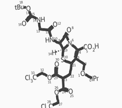 CC(C)OCC1=C(C(=O)O)N2C(=O)C(NC(=O)CNC(=O)OC(C)(C)C)[C@@H]2SC1CC(C(=O)OCC(Cl)(Cl)Cl)C(=O)OCC(Cl)(Cl)Cl